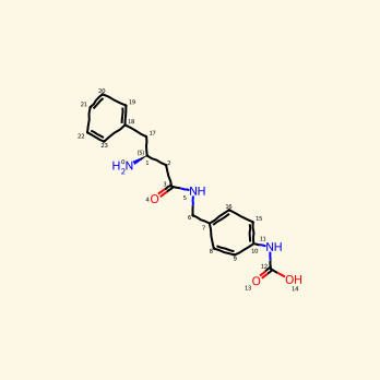 N[C@H](CC(=O)NCc1ccc(NC(=O)O)cc1)Cc1ccccc1